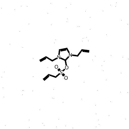 C=CCN1C=CN(CC=C)C1OS(=O)(=O)CC=C